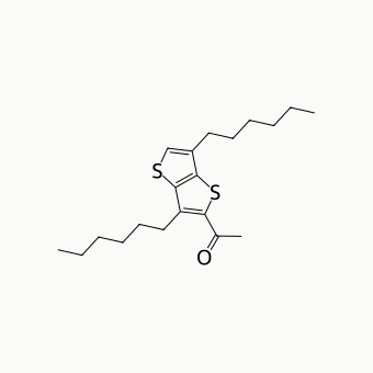 CCCCCCc1csc2c(CCCCCC)c(C(C)=O)sc12